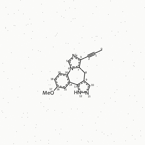 CC#Cc1ncn2c1Cc1cn[nH]c1-c1cc(OC)ccc1-2